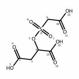 O=C(O)CC(OS(=O)(=O)CC(=O)O)C(=O)O